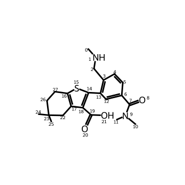 CNCc1ccc(C(=O)N(C)C)cc1-c1sc2c(c1C(=O)O)CC(C)(C)CC2